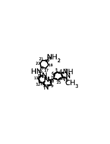 Cc1n[nH]c2ccc(-c3cnc4ccc(N[C@H]5CC[C@H](N)CC5)nn34)cc12